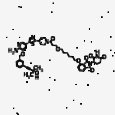 CC(C)(O)C#Cc1cccc(COc2cc(-c3cnc(C4CCN(C(=O)CCOCCCCCCOc5cccc6c5C(=O)N(C5CCC(=O)NC5=O)C6=O)CC4)s3)cnc2N)c1